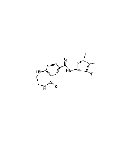 O=C(Nc1cc(F)c(F)c(F)c1)c1ccc2c(c1)[S+]([O-])NCCN2